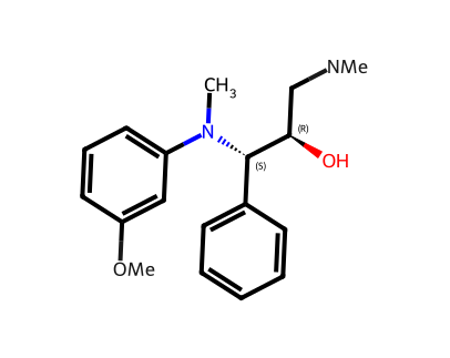 CNC[C@@H](O)[C@H](c1ccccc1)N(C)c1cccc(OC)c1